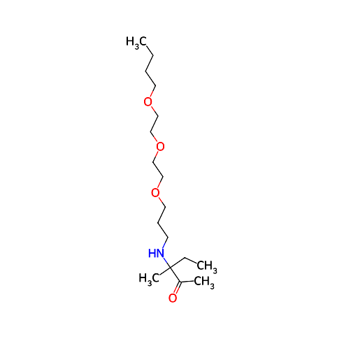 CCCCOCCOCCOCCCNC(C)(CC)C(C)=O